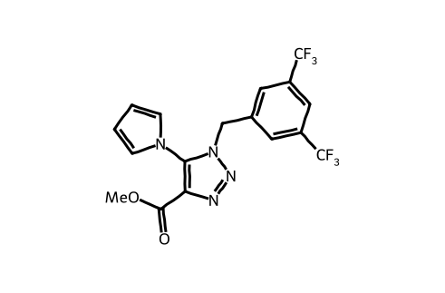 COC(=O)c1nnn(Cc2cc(C(F)(F)F)cc(C(F)(F)F)c2)c1-n1cccc1